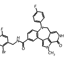 Cn1cc2c3c(c[nH]c(=O)c31)CN(c1ccc(F)cc1)c1ccc(C(=O)NCc3cc(F)ccc3Br)cc1-2